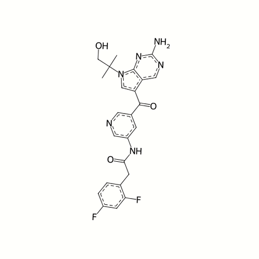 CC(C)(CO)n1cc(C(=O)c2cncc(NC(=O)Cc3ccc(F)cc3F)c2)c2cnc(N)nc21